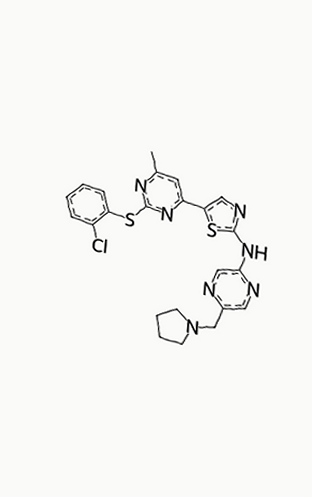 Cc1cc(-c2cnc(Nc3cnc(CN4CCCC4)cn3)s2)nc(Sc2ccccc2Cl)n1